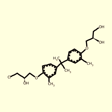 Cc1cc(C(C)(C)c2ccc(OC[C@H](O)CCl)c(C)c2)ccc1OC[C@H](O)CO